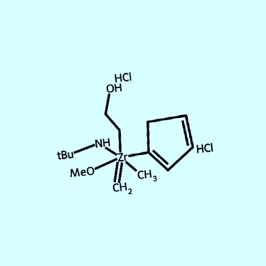 Cl.Cl.[CH2]=[Zr]([CH3])([CH2]CO)([NH]C(C)(C)C)([O]C)[C]1=CC=CC1